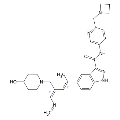 C=N/C=C(\C=C(/C)c1ccc2[nH]nc(C(=O)Nc3ccc(CN4CCC4)nc3)c2c1)CN1CCC(O)CC1